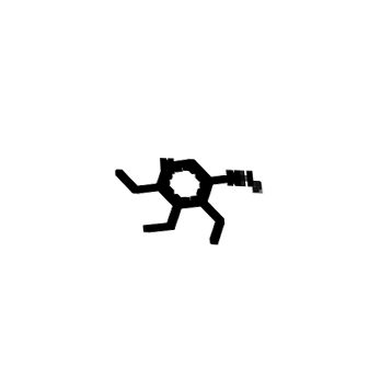 CCc1ncc(N)c(CC)c1CC